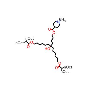 CCCCCCCCC(CCCCCCCC)C(=O)OCCCCCCC(O)(CCCCCCOC(=O)C(CCCCCCCC)CCCCCCCC)CCCCOC(=O)C1CCN(C)CC1